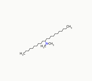 CCCCCCCCCCCC(CCCCCCCCCC)N(C)C